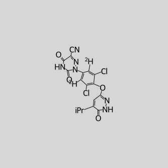 [2H]c1c(Cl)c(Oc2cc(C(C)C)c(=O)[nH]n2)c(Cl)c([2H])c1-n1nc(C#N)c(=O)[nH]c1=O